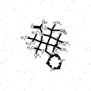 CC(C)(C)C1(Cc2cncnc2)C(C(C)(C)C)(C(C)(C)C)N(C(=O)O)C1(C(C)(C)C)C(C)(C)C